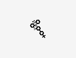 CC(C)(C)c1ccc(-c2ccc3c(c2)Sc2cccc4c2B3c2ccccc2[Si]4(C)C)cc1